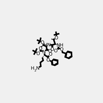 C[C@@H](OC(C)(C)C)[C@H](NC(=O)OCc1ccccc1)C(=O)N[C@H](C(=O)N(C(=O)OC(C)(C)C)[C@@H](CCCCN)C(=O)Oc1ccccc1)[C@@H](C)OC(C)(C)C